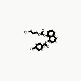 CCCCOC(=O)Oc1cccc2cccc(OC(=O)c3ccc(Cl)cc3)c12